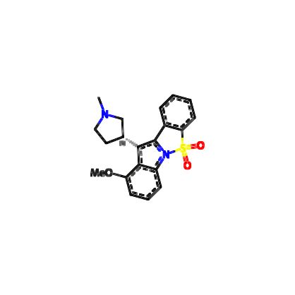 COc1cccc2c1c([C@@H]1CCN(C)C1)c1n2S(=O)(=O)c2ccccc2-1